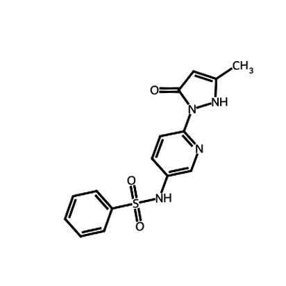 Cc1cc(=O)n(-c2ccc(NS(=O)(=O)c3ccccc3)cn2)[nH]1